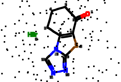 Br.O=C1CCCc2c1sc1nncn21